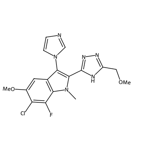 COCc1nnc(-c2c(-n3ccnc3)c3cc(OC)c(Cl)c(F)c3n2C)[nH]1